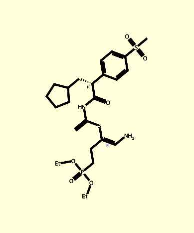 C=C(NC(=O)[C@H](CC1CCCC1)c1ccc(S(C)(=O)=O)cc1)S/C(=C\N)CCP(=O)(OCC)OCC